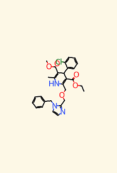 CCOC(=O)C1=C(COCc2nccn2Cc2ccccc2)NC(C)=C(C(=O)OC)C1c1ccccc1Cl